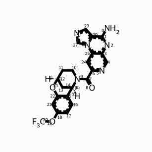 Nc1nc2cnc(C(=O)N3CC[C@H]4C[C@@H]3c3ccc(OC(F)(F)F)cc3O4)cc2n2cncc12